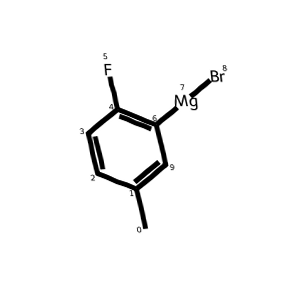 Cc1ccc(F)[c]([Mg][Br])c1